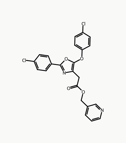 O=C(Cc1nc(-c2ccc(Cl)cc2)oc1Oc1ccc(Cl)cc1)OCc1cccnc1